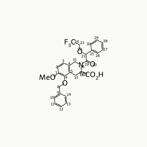 COc1ccc2c(c1OCc1ccccc1)C[C@H](C(=O)O)N(C(=O)C(OCC(F)(F)F)c1ccccc1)C2